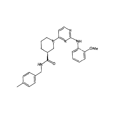 COc1ccccc1Nc1nccc(N2CCC[C@H](C(=O)NCc3ccc(C)cc3)C2)n1